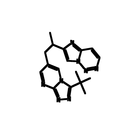 CC(Cc1cnc2nnc(C(C)(C)C)n2c1)c1cn2nnccc2n1